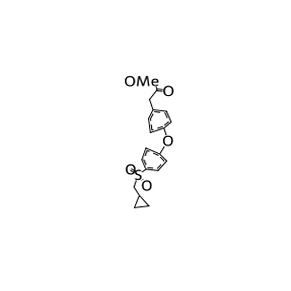 COC(=O)Cc1ccc(Oc2ccc(S(=O)(=O)CC3CC3)cc2)cc1